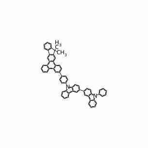 CC1(C)c2ccccc2-c2cc3c4ccccc4c4cc(-c5ccc(-n6c7ccccc7c7cc(-c8ccc9c(c8)c8ccccc8n9-c8ccccc8)ccc76)cc5)ccc4c3cc21